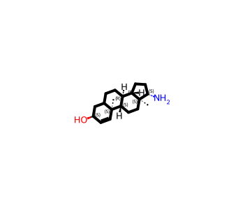 C[C@]12CC[C@H]3[C@@H](CCC4C[C@H](O)C=C[C@@]43C)[C@@H]1CC[C@@H]2N